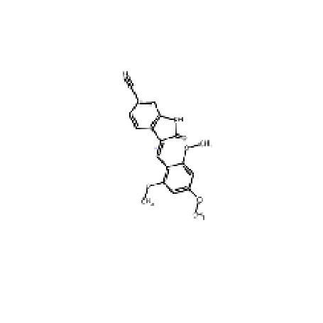 COc1cc(OC)c(/C=C2\C(=O)Nc3cc(C#N)ccc32)c(OC)c1